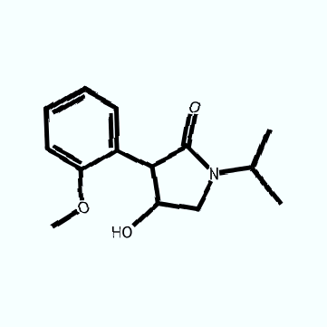 COc1ccccc1C1C(=O)N(C(C)C)CC1O